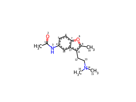 CC(=O)Nc1ccc2oc(C)c(CCN(C)C)c2c1